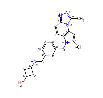 Cc1cc2c(ccc3nnc(C)n32)n1Cc1cccc(CNC2CC(O)C2)c1